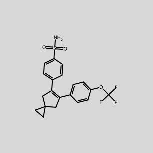 NS(=O)(=O)c1ccc(C2=C(c3ccc(OC(F)(F)F)cc3)CC3(CC3)C2)cc1